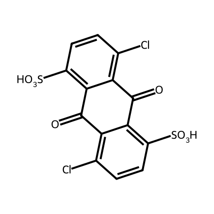 O=C1c2c(Cl)ccc(S(=O)(=O)O)c2C(=O)c2c(Cl)ccc(S(=O)(=O)O)c21